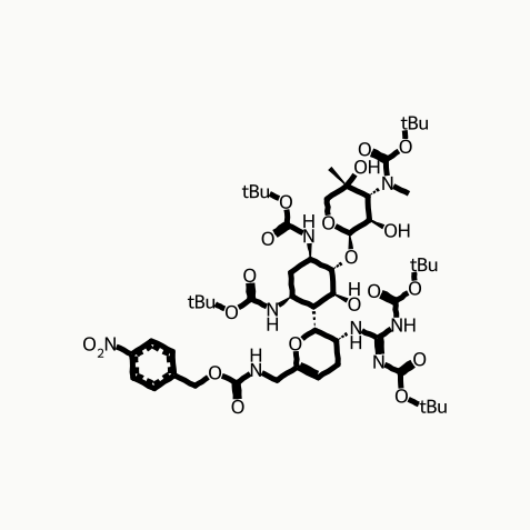 CN(C(=O)OC(C)(C)C)[C@@H]1[C@@H](O)[C@@H](O[C@H]2[C@H](NC(=O)OC(C)(C)C)C[C@H](NC(=O)OC(C)(C)C)C([C@H]3OC(CNC(=O)OCc4ccc([N+](=O)[O-])cc4)=CC[C@H]3N/C(=N/C(=O)OC(C)(C)C)NC(=O)OC(C)(C)C)[C@@H]2O)OC[C@]1(C)O